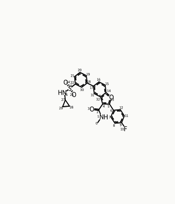 CNC(=O)c1c(-c2ccc(F)cc2)oc2ccc(-c3cccc(S(=O)(=O)NC4CC4)c3)cc12